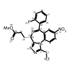 CCSc1nnc2n1-c1ccc([N+](=O)[O-])cc1C(c1ccccc1F)=N[C@H]2CCC(=O)OC